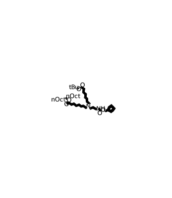 CCCCCCCCC(CCCCCCCC)OC(=O)CCCCCCCN(CCCCCCCC(=O)OC(C)(C)C)CCCNC(=O)OCc1ccccc1